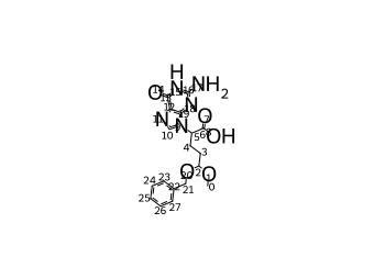 COC(CCC(C(=O)O)n1cnc2c(=O)[nH]c(N)nc21)OCc1ccccc1